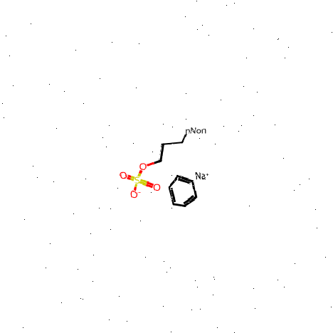 CCCCCCCCCCCCOS(=O)(=O)[O-].[Na+].c1ccccc1